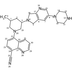 CC1CC(N2Cc3cc(N4CCNCC4)cnc3C2)CN(c2ccc(C#N)c3ncccc23)C1